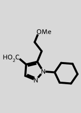 COCCc1c(C(=O)O)cnn1C1CCCCC1